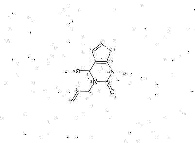 C=CCn1c(=O)c2ccsc2n(C)c1=O